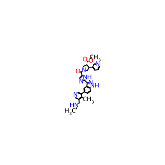 CCNCc1cncc(-c2ccc3[nH]nc(-c4ncc(C(=O)N5C[C@H](C(=O)OC)[C@@H](c6cccnc6)C5)[nH]4)c3c2)c1C